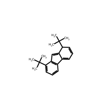 CC(C)(C)[C]1C=CC=C2C1=Cc1c2cccc1C(C)(C)C